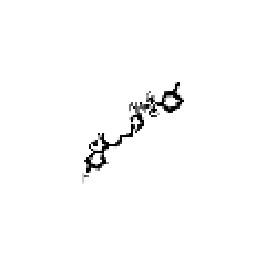 Cc1cccc(S(=O)(=O)NC2CN(CCCc3noc4cc(F)ccc34)C2)c1